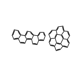 c1cc2ccc3ccc4ccc5ccc6ccc1c1c2c3c4c5c61.c1ccc2c(c1)ccc1c2ccc2c3ccccc3ccc21